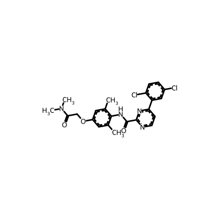 Cc1cc(OCC(=O)N(C)C)cc(C)c1NC(=O)c1nccc(-c2cc(Cl)ccc2Cl)n1